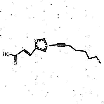 CCCCCCC#Cc1csc(C=CC(=O)O)c1